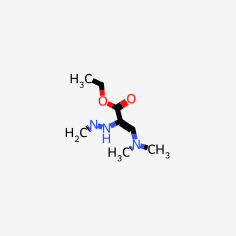 C=NN/C(=C\N(C)C)C(=O)OCC